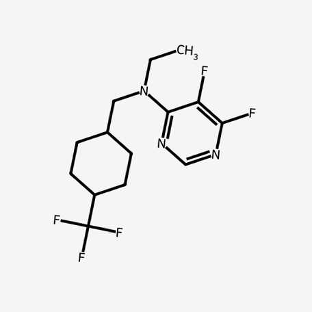 CCN(CC1CCC(C(F)(F)F)CC1)c1ncnc(F)c1F